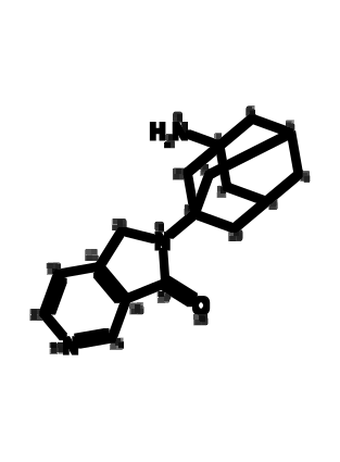 NC12CC3CC(C1)CC(N1Cc4ccncc4C1=O)(C3)C2